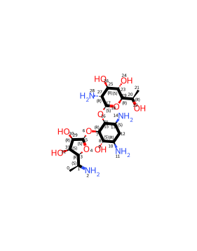 C[C@H](N)[C@H]1O[C@@H](O[C@@H]2[C@@H](O)[C@H](N)C[C@H](N)[C@H]2O[C@H]2O[C@H]([C@@H](C)O)[C@@H](O)[C@H](O)[C@H]2N)[C@H](O)[C@@H]1O